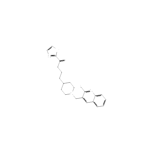 O=C(CCCC1CCN(Cc2cc3ccccc3nc2Cl)CC1)c1ncco1